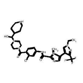 CCn1cc(-c2cnc(C(=O)Nc3ccc(C(=O)N4CCN(C(O)C5CCNCC5)CC4)c(Cl)c3)n2C)c(C(F)(F)F)n1